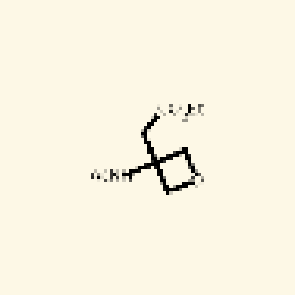 CCOC(=O)CC1(NC(C)=O)COC1